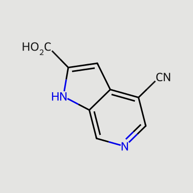 N#Cc1cncc2[nH]c(C(=O)O)cc12